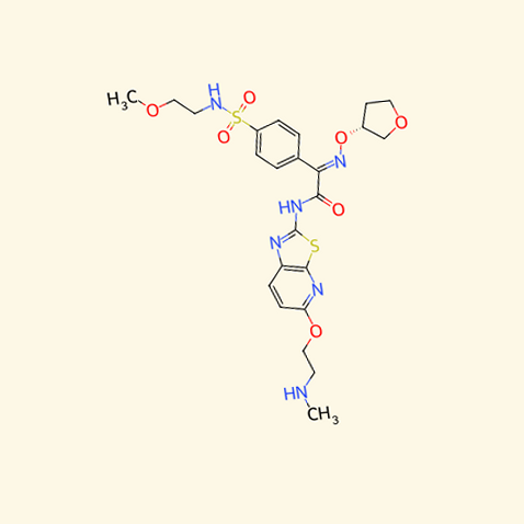 CNCCOc1ccc2nc(NC(=O)/C(=N/O[C@@H]3CCOC3)c3ccc(S(=O)(=O)NCCOC)cc3)sc2n1